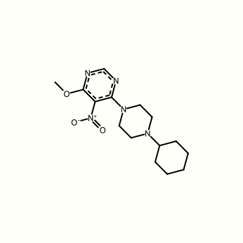 COc1ncnc(N2CCN(C3CCCCC3)CC2)c1[N+](=O)[O-]